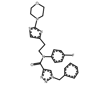 O=C(c1cn(Cc2ccccc2)nn1)N(CCc1csc(N2CCOCC2)n1)c1ccc(F)cc1